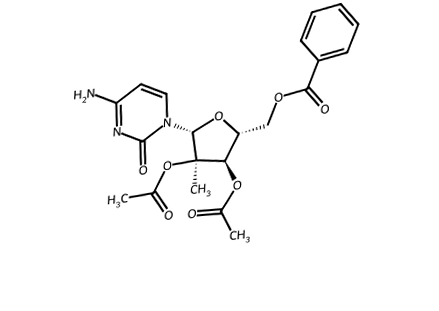 CC(=O)O[C@@H]1[C@@H](COC(=O)c2ccccc2)O[C@@H](n2ccc(N)nc2=O)[C@]1(C)OC(C)=O